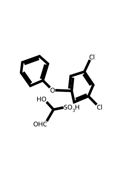 Clc1cc(Cl)cc(Oc2ccccc2)c1.O=CC(O)S(=O)(=O)O